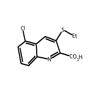 CCSc1cc2c(Cl)cccc2nc1C(=O)O